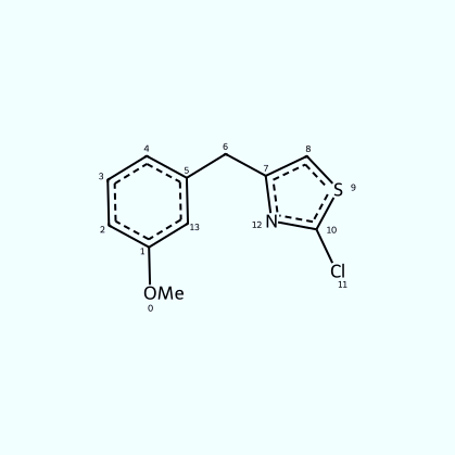 COc1cccc(Cc2csc(Cl)n2)c1